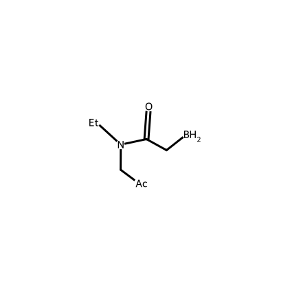 BCC(=O)N(CC)CC(C)=O